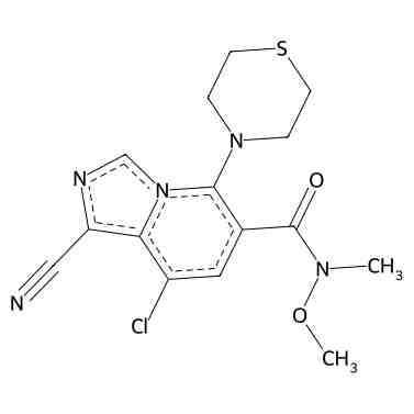 CON(C)C(=O)c1cc(Cl)c2c(C#N)ncn2c1N1CCSCC1